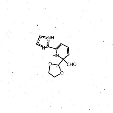 O=CC1(C2OCCO2)C=CC=C(c2ncc[nH]2)N1